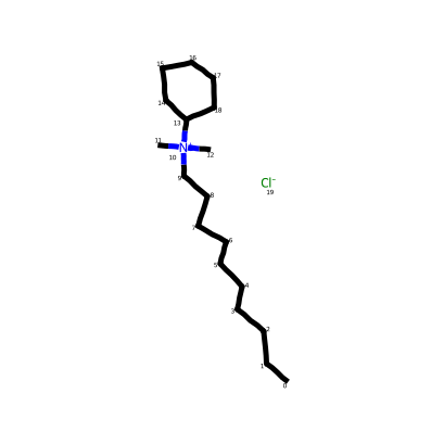 CCCCCCCCCC[N+](C)(C)C1CCCCC1.[Cl-]